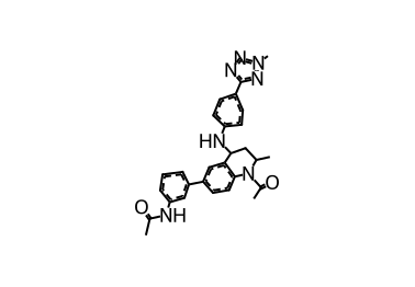 CC(=O)Nc1cccc(-c2ccc3c(c2)C(Nc2ccc(-c4nnn(C)n4)cc2)CC(C)N3C(C)=O)c1